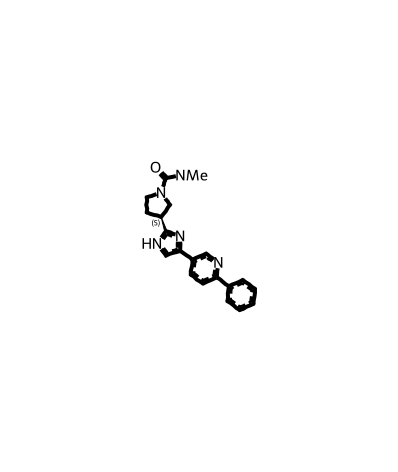 CNC(=O)N1CC[C@H](c2nc(-c3ccc(-c4ccccc4)nc3)c[nH]2)C1